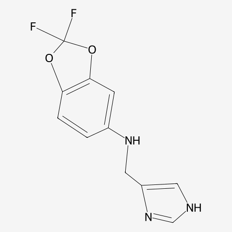 FC1(F)Oc2ccc(NCc3c[nH]cn3)cc2O1